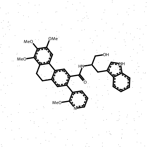 COc1cc2c(c(OC)c1OC)CCc1cc(-c3cccnc3OC)c(C(=O)NC(CO)Cc3c[nH]c4ccccc34)cc1-2